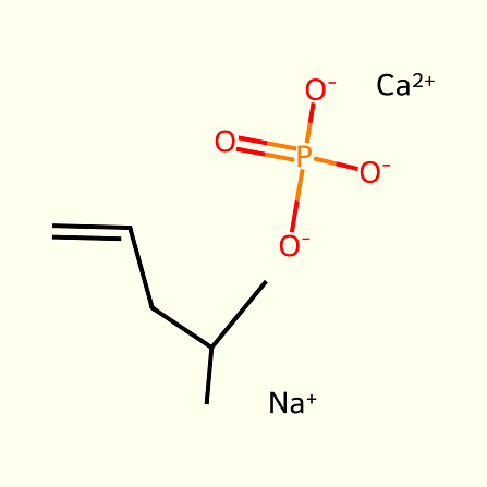 C=CCC(C)C.O=P([O-])([O-])[O-].[Ca+2].[Na+]